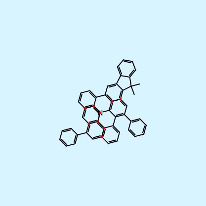 CC1(C)c2ccccc2-c2cc(-c3ccccc3N(c3cccc(-c4ccccc4)c3)c3cccc(-c4ccccc4)c3-c3ccccc3-c3ccccc3)ccc21